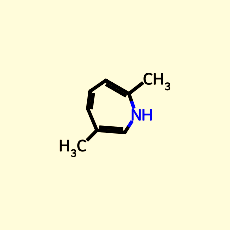 CC1=CNC(C)=CC=C1